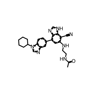 CC(=O)NCCNc1cc(-c2ccc3c(c2)ncn3C2CCCCC2)c2nc[nH]c2c1C#N